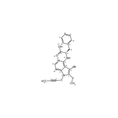 CC#CCn1c(CC)c(Br)c2c(N[C@H](Cc3ccccc3)C(=O)O)ncnc21